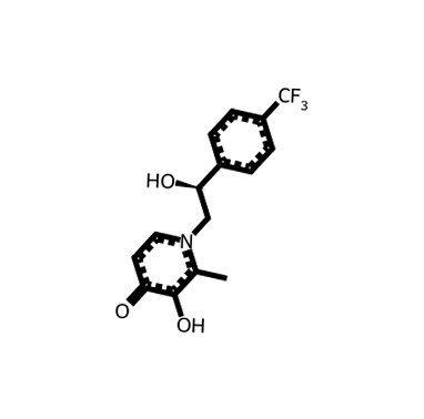 Cc1c(O)c(=O)ccn1C[C@@H](O)c1ccc(C(F)(F)F)cc1